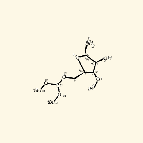 CC(C)O[C@@H]1[C@H](O)[C@H](N)O[C@@H]1COP(OC(C)(C)C)OC(C)(C)C